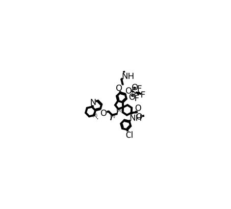 CNCCOc1cc2c(cc1OS(=O)(=O)C(F)(F)F)C1(CCC(Nc3cccc(Cl)c3)(C(=O)OC)CC1)[C@@H](C[C@@H](C)COc1ccnc3c1[C@H](C)CCC3)C2